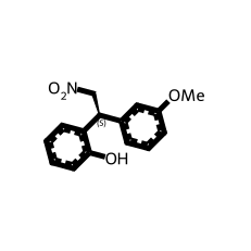 COc1cccc([C@H](C[N+](=O)[O-])c2ccccc2O)c1